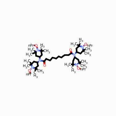 CCCON1C(C)(C)CC(N(C(=O)CCCCCCCCC(=O)N(C2CC(C)(C)N(OCCC)C(C)(C)C2)C2CC(C)(C)N(OCCC)C(C)(C)C2)C2CC(C)(C)N(OCCC)C(C)(C)C2)CC1(C)C